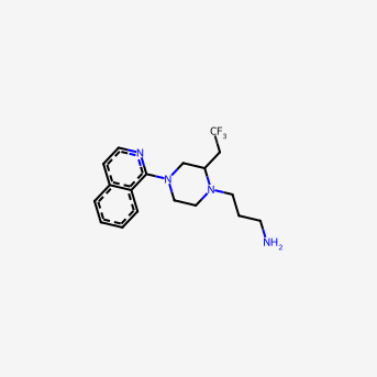 NCCCN1CCN(c2nccc3ccccc23)CC1CC(F)(F)F